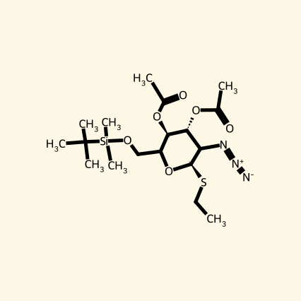 CCS[C@H]1OC(CO[Si](C)(C)C(C)(C)C)[C@@H](OC(C)=O)[C@H](OC(C)=O)C1N=[N+]=[N-]